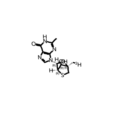 [2H]C[C@@]12CS[C@@H]([C@H](n3cnc4c(=O)[nH]c(C)nc43)O1)[C@@H]2O